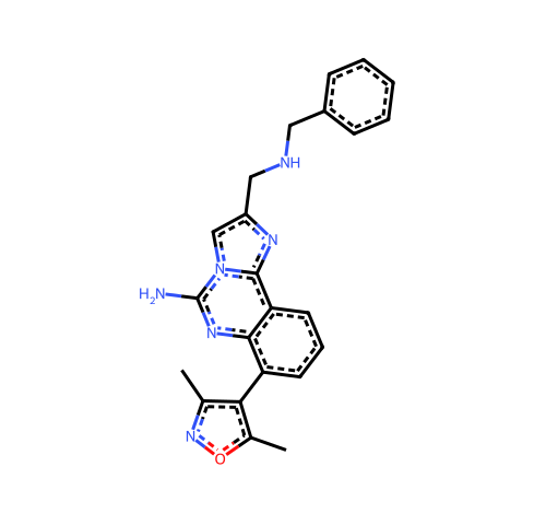 Cc1noc(C)c1-c1cccc2c1nc(N)n1cc(CNCc3ccccc3)nc21